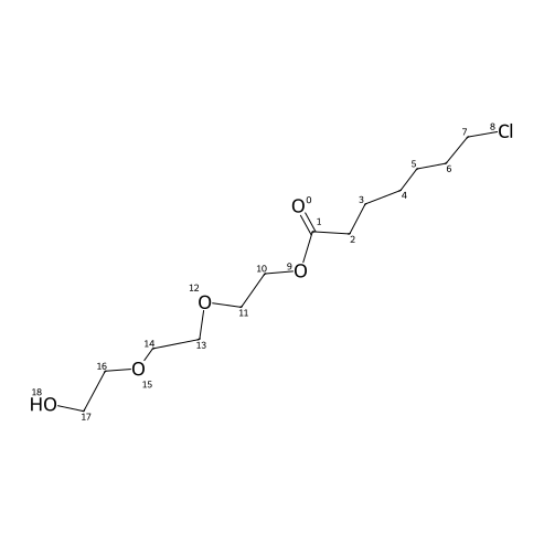 O=C(CCCCCCCl)OCCOCCOCCO